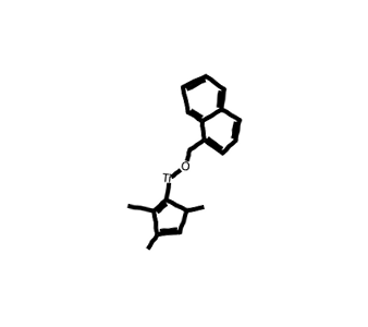 CC1=CC(C)[C]([Ti][O]Cc2cccc3ccccc23)=C1C